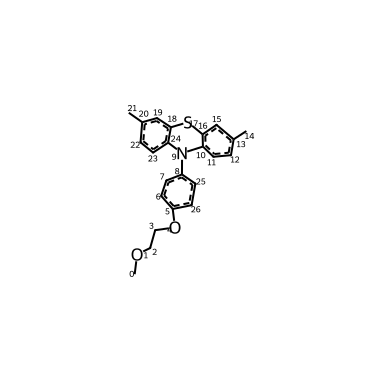 COCCOc1ccc(N2c3ccc(C)cc3Sc3cc(C)ccc32)cc1